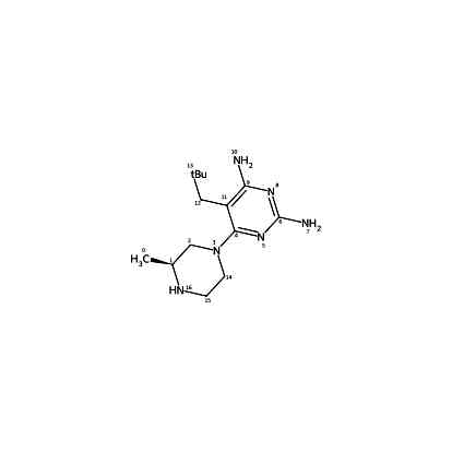 C[C@H]1CN(c2nc(N)nc(N)c2CC(C)(C)C)CCN1